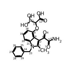 Cc1c(C(=O)C(N)=O)c2c(OC(C(=O)O)P(O)O)cccc2n1Cc1ccccc1